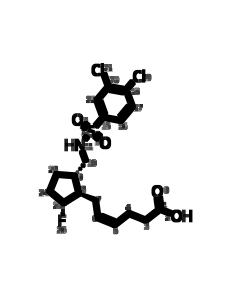 O=C(O)CC/C=C\C[C@@H]1[C@@H](CNS(=O)(=O)c2ccc(Cl)c(Cl)c2)CC[C@H]1F